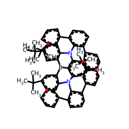 Cc1cc2c3c(c1)N(c1c(-c4ccccc4)cccc1-c1cccc(C(C)(C)C)c1)c1ccc(C(C)(C)C)cc1B3c1cc(C(C)(C)C)ccc1N2c1c(-c2ccccc2)cccc1-c1cccc(C(C)(C)C)c1